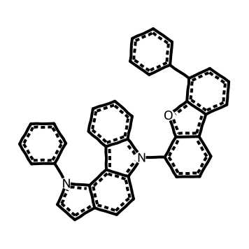 c1ccc(-c2cccc3c2oc2c(-n4c5ccccc5c5c6c(ccc54)ccn6-c4ccccc4)cccc23)cc1